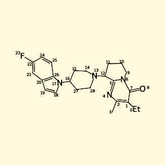 CCc1c(C)nc2n(c1=O)CCCC2N1CCC(n2ccc3cc(F)ccc32)CC1